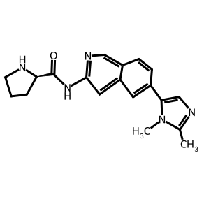 Cc1ncc(-c2ccc3cnc(NC(=O)[C@H]4CCCN4)cc3c2)n1C